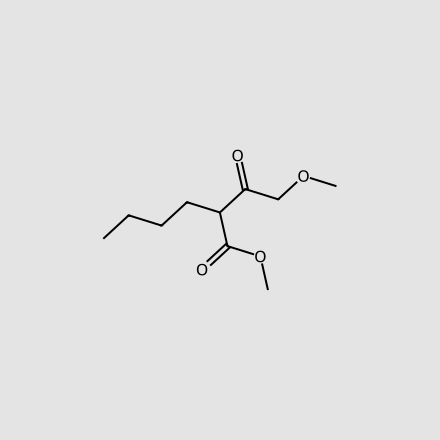 CCCCC(C(=O)COC)C(=O)OC